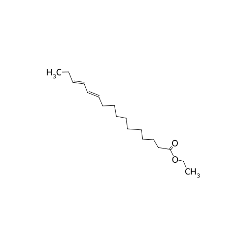 CCC=CC=CCCCCCCCCCC(=O)OCC